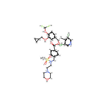 CS(=O)(=O)N(CCN1CCOCC1)Cc1ccc(C(=O)O[C@@H](Cc2c(Cl)cncc2Cl)c2ccc(OC(F)F)c(OCC3CC3)c2)cc1